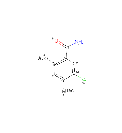 CC(=O)Nc1cc(OC(C)=O)c(C(N)=O)cc1Cl